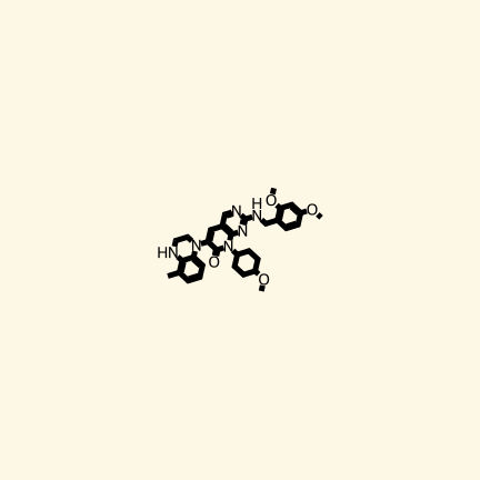 COc1ccc(CNc2ncc3cc(N4CCNc5c(C)cccc54)c(=O)n(C4CCC(OC)CC4)c3n2)c(OC)c1